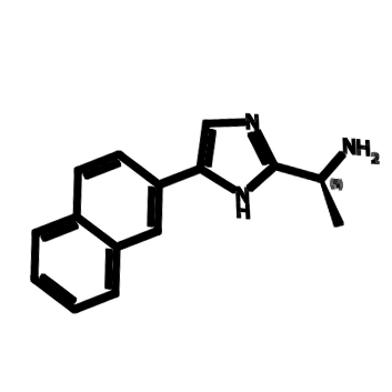 C[C@H](N)c1ncc(-c2ccc3ccccc3c2)[nH]1